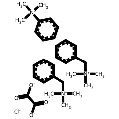 C[N+](C)(C)Cc1ccccc1.C[N+](C)(C)Cc1ccccc1.C[N+](C)(C)c1ccccc1.O=C([O-])C(=O)[O-].[Cl-]